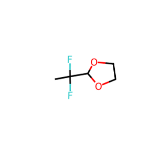 CC(F)(F)C1OCCO1